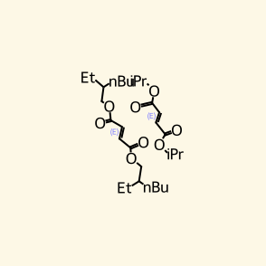 CC(C)OC(=O)/C=C/C(=O)OC(C)C.CCCCC(CC)COC(=O)/C=C/C(=O)OCC(CC)CCCC